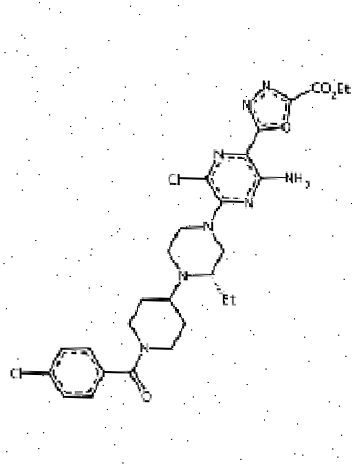 CCOC(=O)c1nnc(-c2nc(Cl)c(N3CCN(C4CCN(C(=O)c5ccc(Cl)cc5)CC4)[C@@H](CC)C3)nc2N)o1